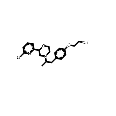 CC(Cc1ccc(OCCO)cc1)N1CCOC(c2cccc(Cl)n2)C1